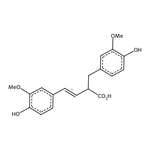 COc1cc(/C=C/C(Cc2ccc(O)c(OC)c2)C(=O)O)ccc1O